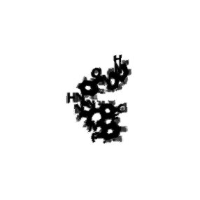 O=C(c1ccc(Nc2ncc3c(n2)-c2ccc(Cl)cc2C(c2c(F)cccc2F)=NC3)cc1)N1CCC2(CCCN2)C1